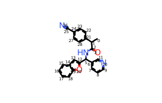 CC(C(=O)NC(c1cccnc1)c1cc2ccccc2o1)c1ccc(C#N)cc1